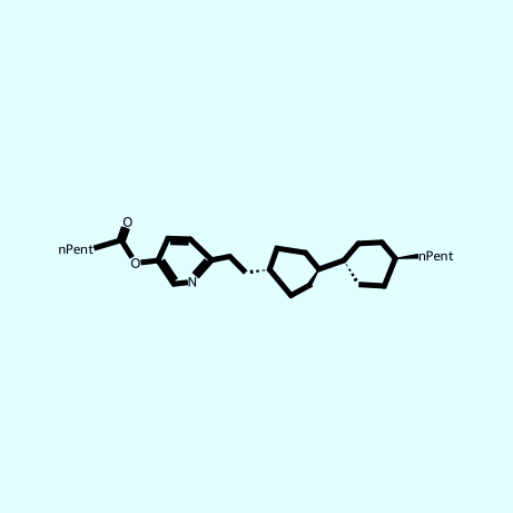 CCCCCC(=O)Oc1ccc(CC[C@H]2CC[C@H]([C@H]3CC[C@H](CCCCC)CC3)CC2)nc1